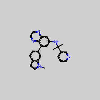 Cn1ccc2ccc(-c3cc(NC(C)(C)c4cccnc4)cc4nccnc34)cc21